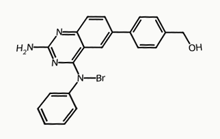 Nc1nc(N(Br)c2ccccc2)c2cc(-c3ccc(CO)cc3)ccc2n1